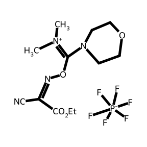 CCOC(=O)/C(C#N)=N\OC(N1CCOCC1)=[N+](C)C.F[P-](F)(F)(F)(F)F